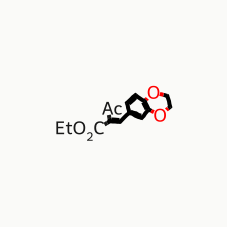 CCOC(=O)C(=Cc1ccc2c(c1)OCCO2)C(C)=O